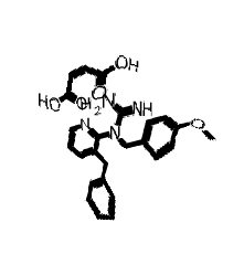 COc1ccc(CN(C(=N)N)c2ncccc2Cc2ccccc2)cc1.O=C(O)/C=C\C(=O)O